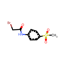 CS(=O)(=O)c1ccc(NC(=O)CBr)cc1